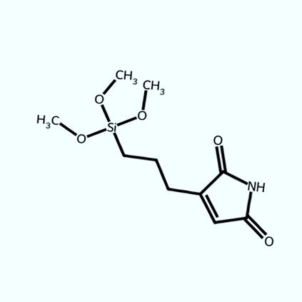 CO[Si](CCCC1=CC(=O)NC1=O)(OC)OC